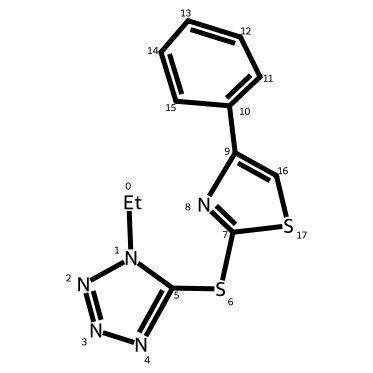 CCn1nnnc1Sc1nc(-c2ccccc2)cs1